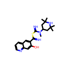 CN(C(=N)SC(=N)c1cc2cccnc2cc1O)C1CC(C)(C)NC(C)(C)C1